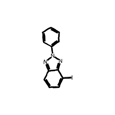 Ic1cccc2nn(-c3ccccc3)nc12